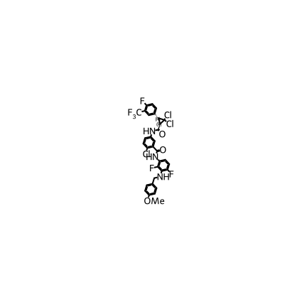 COc1ccc(CNc2c(F)ccc(NC(=O)c3cc(NC(=O)[C@H]4[C@H](c5ccc(F)c(C(F)(F)F)c5)C4(Cl)Cl)ccc3Cl)c2F)cc1